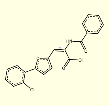 O=C(O)/C(=C\c1ccc(-c2ccccc2Cl)o1)NC(=O)c1ccccc1